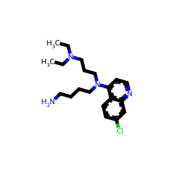 CCN(CC)CCCN(CCCCN)c1ccnc2cc(Cl)ccc12